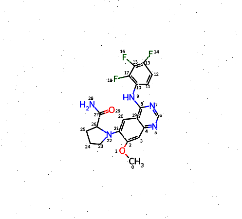 COc1cc2ncnc(Nc3ccc(F)c(F)c3F)c2cc1N1CCCC1C(N)=O